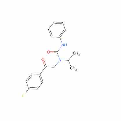 CC(C)N(CC(=O)c1ccc(F)cc1)C(=O)Nc1ccccc1